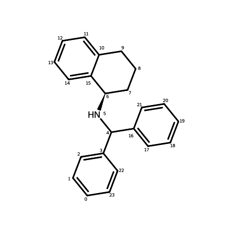 c1ccc(C(N[C@@H]2CCCc3ccccc32)c2ccccc2)cc1